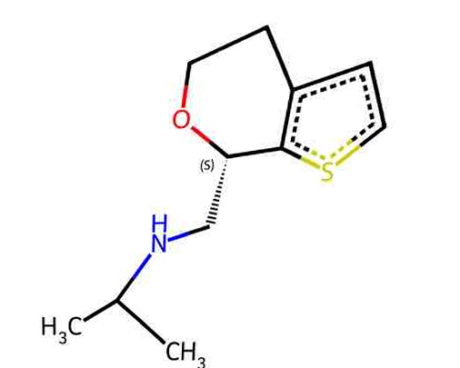 CC(C)NC[C@@H]1OCCc2ccsc21